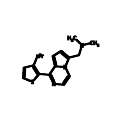 CCCc1ccsc1-c1nccn2c(CN(C)C)ccc12